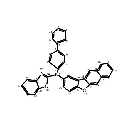 c1ccc(-c2ccc(N(c3ccc4oc5cc6ccccc6cc5c4c3)c3nc4ccccc4o3)cc2)cc1